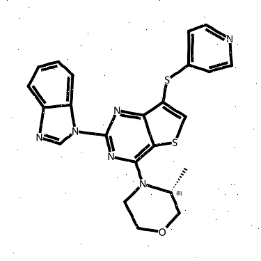 C[C@@H]1COCCN1c1nc(-n2cnc3ccccc32)nc2c(Sc3ccncc3)csc12